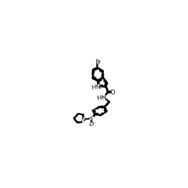 O=C(NCc1ccc([S+]([O-])N2CCCCC2)cc1)c1cc2cc(Br)ccc2[nH]1